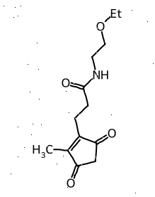 CCOCCNC(=O)CCC1=C(C)C(=O)CC1=O